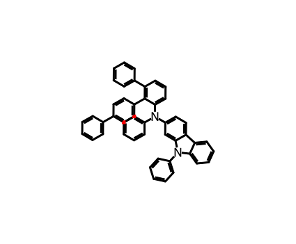 c1ccc(-c2ccc(-c3c(-c4ccccc4)cccc3N(c3ccccc3)c3ccc4c5ccccc5n(-c5ccccc5)c4c3)cc2)cc1